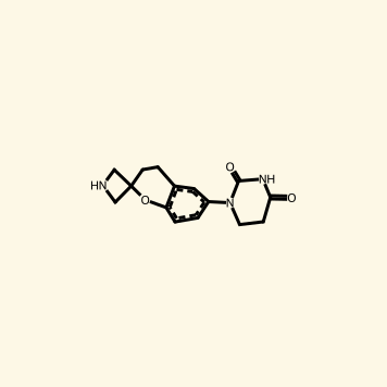 O=C1CCN(c2ccc3c(c2)CCC2(CNC2)O3)C(=O)N1